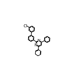 Clc1cccc(-c2cccc(-c3nc(C4=CCCC=C4)cc(-c4ccccc4)n3)c2)c1